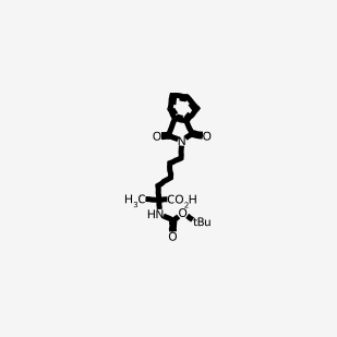 CC(C)(C)OC(=O)NC(C)(CCCCN1C(=O)c2ccccc2C1=O)C(=O)O